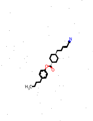 CCCCc1ccc(OC(=O)[C@H]2CC[C@H](CCC=CC#N)CC2)cc1